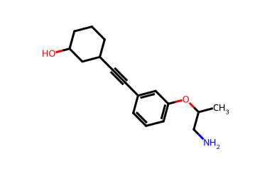 CC(CN)Oc1cccc(C#CC2CCCC(O)C2)c1